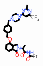 CCC(=O)NC(=O)C(C)N1Cc2c(OCc3ccc(CN4CCN(c5cc(C(F)(F)F)nc(C)n5)CC4)cc3)cccc2C1=O